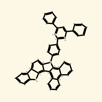 c1ccc(-c2cc(-c3ccccc3)nc(-c3ccc(-n4c5ccc6c7ccccc7sc6c5c5c6ccccc6c6ccccc6c54)cc3)n2)cc1